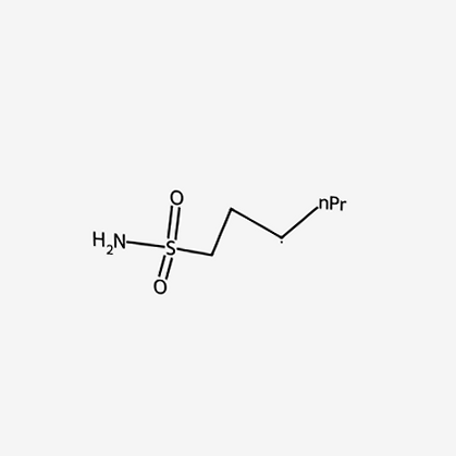 CCC[CH]CCS(N)(=O)=O